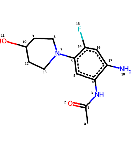 CC(=O)Nc1cc(N2CCC(O)CC2)c(F)cc1N